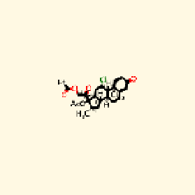 CCC(=O)OCC(=O)[C@@]1(OC(C)=O)[C@@H](C)C[C@H]2[C@@H]3CCC4=CC(=O)C=C[C@]4(C)[C@H]3[C@@H](Cl)C[C@@]21C